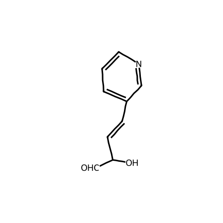 O=CC(O)/C=C/c1cccnc1